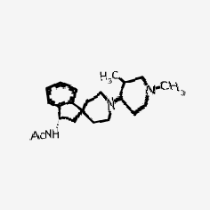 CC(=O)N[C@H]1CC2(CCN(C3CCN(C)CC3C)CC2)c2ccccc21